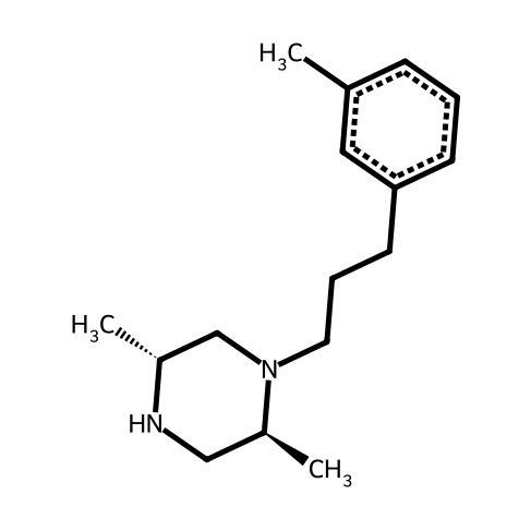 Cc1cccc(CCCN2C[C@@H](C)NC[C@@H]2C)c1